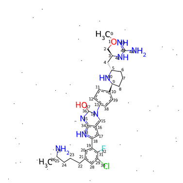 COC[C@H](C[C@@H]1CCC[C@@H](c2ccc(N3C=c4cc(-c5cc(CCC[C@H](C)N)cc(Cl)c5F)[nH]c4=NC3O)cc2)N1)NC(=N)N